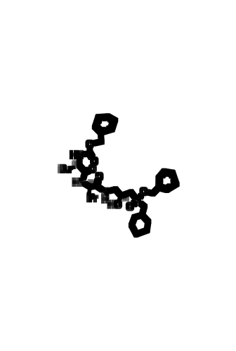 CCC(C)[C@H](NC(=O)OCc1ccccc1)C(=O)N[C@H](C(=O)NC[C@@H](O)CP(=O)(CC1CCCCC1)OCc1ccccc1)C(C)C